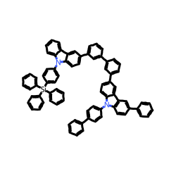 c1ccc(-c2ccc(-n3c4ccc(-c5ccccc5)cc4c4cc(-c5cccc(-c6cccc(-c7ccc8c(c7)c7ccccc7n8-c7ccc([Si](c8ccccc8)(c8ccccc8)c8ccccc8)cc7)c6)c5)ccc43)cc2)cc1